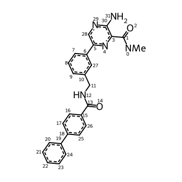 CNC(=O)c1nc(-c2cccc(CNC(=O)c3ccc(-c4ccccc4)cc3)c2)cnc1N